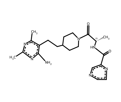 Cc1nc(C)c(CCC2CCN(C(=O)[C@H](C)NC(=O)c3cnccn3)CC2)c(N)n1